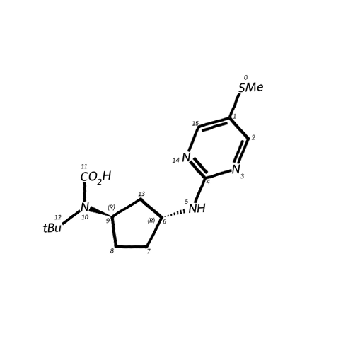 CSc1cnc(N[C@@H]2CC[C@@H](N(C(=O)O)C(C)(C)C)C2)nc1